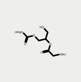 CCCCCCCCCCCC(=O)OC(CO)COC(=O)CCCCCCC